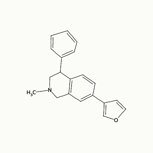 CN1Cc2cc(-c3ccoc3)ccc2C(c2ccccc2)C1